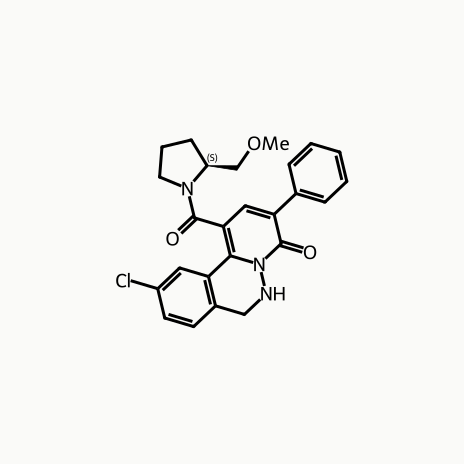 COC[C@@H]1CCCN1C(=O)c1cc(-c2ccccc2)c(=O)n2c1-c1cc(Cl)ccc1CN2